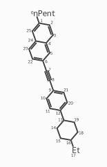 CCCCCc1ccc2cc(C#Cc3ccc(C4CCC(CC)CC4)cc3)ccc2c1